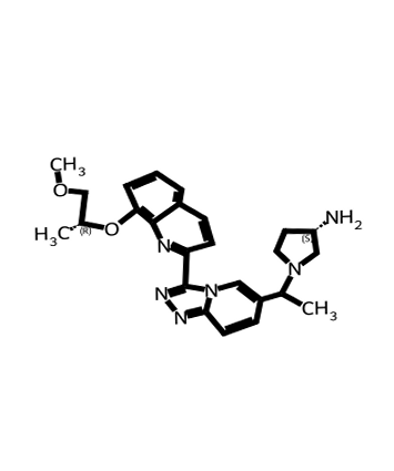 COC[C@@H](C)Oc1cccc2ccc(-c3nnc4ccc(C(C)N5CC[C@H](N)C5)cn34)nc12